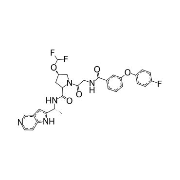 C[C@@H](NC(=O)C1C[C@@H](OC(F)F)CN1C(=O)CNC(=O)c1cccc(Oc2ccc(F)cc2)c1)c1cc2cnccc2[nH]1